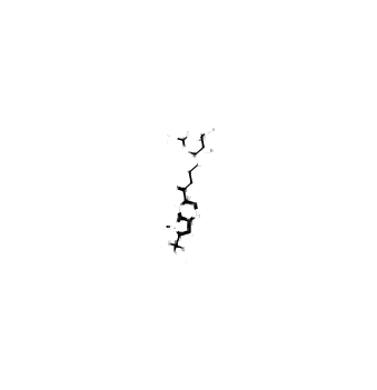 CC(C)O[C@H](CCCC(=O)c1cnc2cc(C(C)(C)C)n(C)c2n1)[C@@H](N)CO